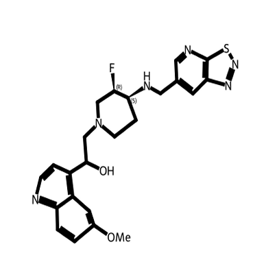 COc1ccc2nccc(C(O)CN3CC[C@H](NCc4cnc5snnc5c4)[C@H](F)C3)c2c1